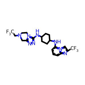 FC(F)(F)CN1CCn2c(nnc2NC2CCC(Nc3cccc4nc(C(F)(F)F)cn34)CC2)C1